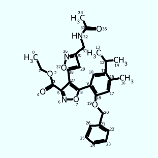 CCOC(=O)c1noc(-c2cc(C(C)C)c(C)cc2OCc2ccccc2)c1-c1cc(CNC(C)=O)no1